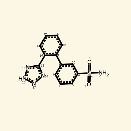 NS(=O)(=O)c1cccc(-c2ccccc2-c2nn[nH]n2)c1